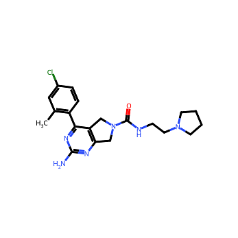 Cc1cc(Cl)ccc1-c1nc(N)nc2c1CN(C(=O)NCCN1CCCC1)C2